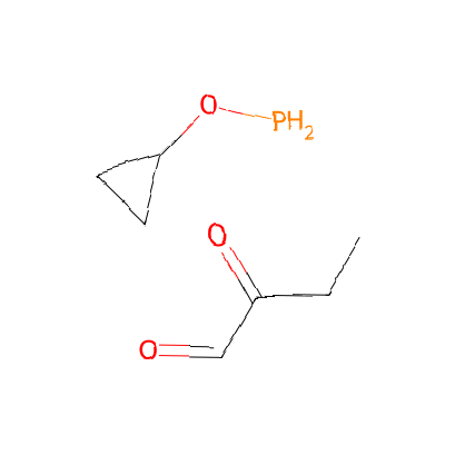 CCC(=O)C=O.POC1CC1